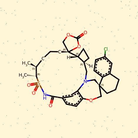 C[C@@H]1[C@@H](C)CCC[C@]2(COC(=O)O2)[C@@H]2CC[C@H]2CN2C[C@@]3(CCCc4cc(Cl)ccc43)COc3ccc(cc32)C(=O)NS1(=O)=O